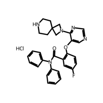 Cl.O=C(c1cc(F)ccc1Oc1cncnc1N1CC2(CCNCC2)C1)N(c1ccccc1)c1ccccc1